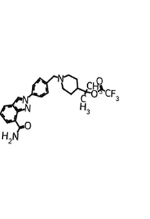 CC(C)(OC(=O)C(F)(F)F)C1CCN(Cc2ccc(-n3cc4cccc(C(N)=O)c4n3)cc2)CC1